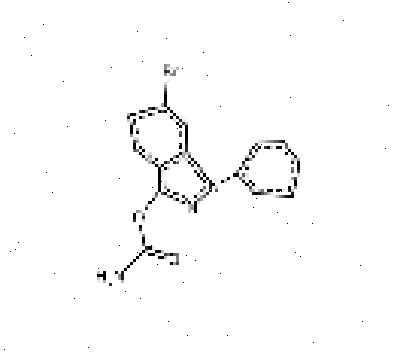 NC(=O)Oc1nn(-c2ccccc2)c2cc(Br)ccc12